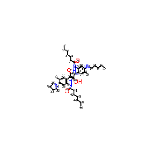 CCCCCCC(=O)NC1=CC(=N/CCCCC)/C(C)=CC/1=C1/C(=O)C(c2cc(C)c(N3CCCC3)cc2NC(=O)CCCCCC)=C1O